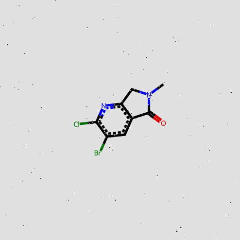 CN1Cc2nc(Cl)c(Br)cc2C1=O